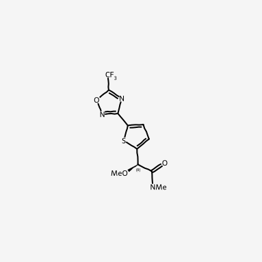 CNC(=O)[C@@H](OC)c1ccc(-c2noc(C(F)(F)F)n2)s1